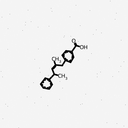 CC(=CC(C)c1ccccc1)Cc1ccc(C(=O)O)cc1